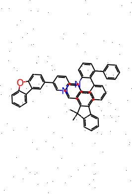 CC1(C)c2ccccc2-c2ccc(N(c3ccc(-c4ccc5oc6ccccc6c5c4)cn3)c3cccc(-c4ccccc4)c3-c3ccccc3-c3ccccc3)cc21